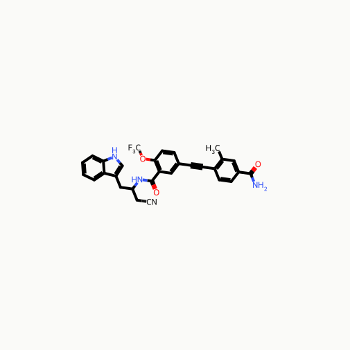 Cc1cc(C(N)=O)ccc1C#Cc1ccc(OC(F)(F)F)c(C(=O)NC(CC#N)Cc2c[nH]c3ccccc23)c1